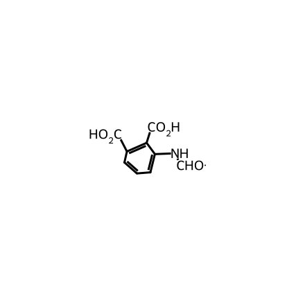 O=[C]Nc1cccc(C(=O)O)c1C(=O)O